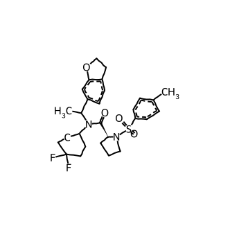 Cc1ccc(S(=O)(=O)N2CCC[C@H]2C(=O)N(C2CCC(F)(F)CC2)C(C)c2ccc3c(c2)OCC3)cc1